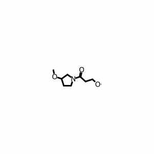 COC1CCN(C(=O)CC[O])C1